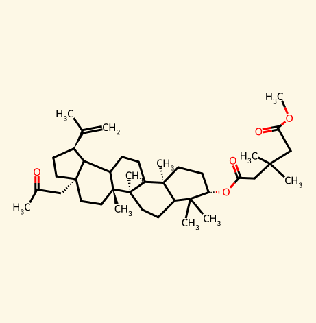 C=C(C)[C@@H]1CC[C@]2(CC(C)=O)CC[C@]3(C)C(CCC4[C@@]5(C)CC[C@H](OC(=O)CC(C)(C)CC(=O)OC)C(C)(C)C5CC[C@]43C)C12